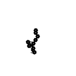 c1cc(-c2ccc(-c3ccc(N(c4ccc5c(c4)sc4ccccc45)c4cccc5c4oc4ccccc45)cc3)cc2)cc(-c2ccc3ccccc3c2)c1